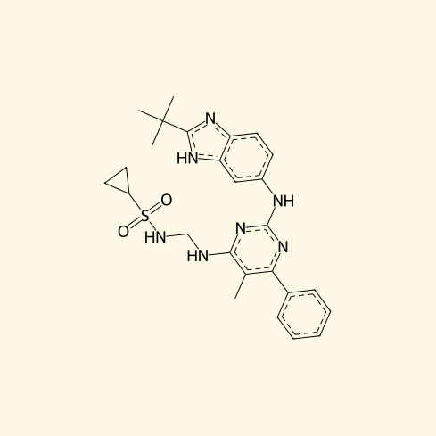 Cc1c(NCNS(=O)(=O)C2CC2)nc(Nc2ccc3nc(C(C)(C)C)[nH]c3c2)nc1-c1ccccc1